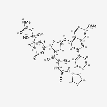 C=C[C@@H]1C[C@]1(NC(=O)[C@@H]1C[C@@H](Oc2cc(-c3ccccc3)nc3cc(OC)ccc23)CN1C(=O)[C@@H](NC(=O)OC1CCCC1)C(C)(C)C)P(=O)(O)CC(=O)NC